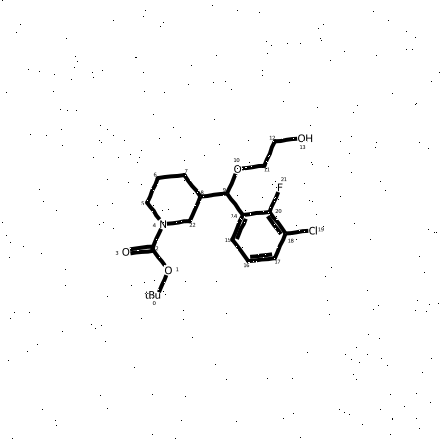 CC(C)(C)OC(=O)N1CCCC(C(OCCO)c2cccc(Cl)c2F)C1